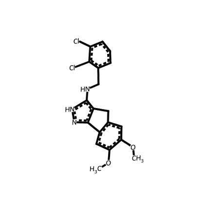 COc1cc2c(cc1OC)-c1n[nH]c(NCc3cccc(Cl)c3Cl)c1C2